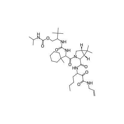 C=CCNC(=O)C(=O)C(CCCC)NC(=O)C1[C@@H]2[C@H](CN1C(=O)C(NC(=O)NC(COC(=O)NC(C)C)C(C)(C)C)C1(C)CCCCC1)C2(C)C